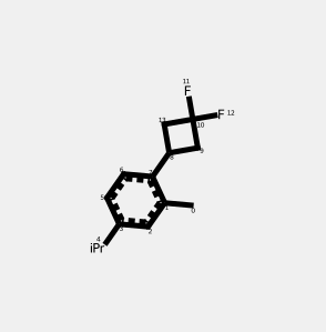 Cc1cc(C(C)C)ccc1C1CC(F)(F)C1